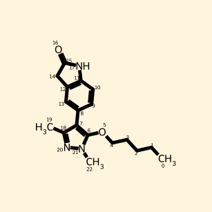 CCCCCOc1c(-c2ccc3c(c2)CC(=O)N3)c(C)nn1C